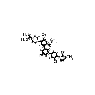 COC(=O)Oc1c(-c2ccc(-n3ccn(C)c3=O)c(Cl)c2)cc(F)cc1-c1cnc(C)c(N2CCN(C(C)C)CC2)c1